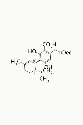 C=C(C)[C@@H]1CCC(C)=C[C@H]1c1c(O)cc(CCCCCCCCCCC)c(C(=O)O)c1O